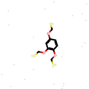 SCOc1ccc(OCS)c(OCS)c1